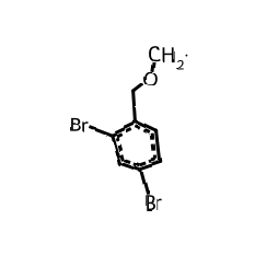 [CH2]OCc1ccc(Br)cc1Br